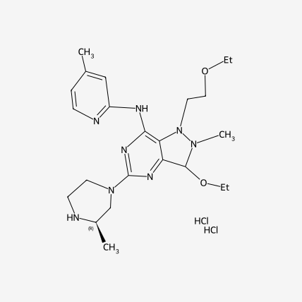 CCOCCN1c2c(Nc3cc(C)ccn3)nc(N3CCN[C@H](C)C3)nc2C(OCC)N1C.Cl.Cl